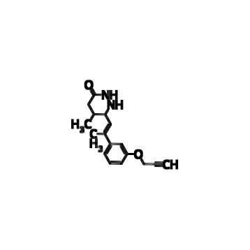 C#CCOc1cccc(/C(C)=C/C2NNC(=O)CC2C)c1